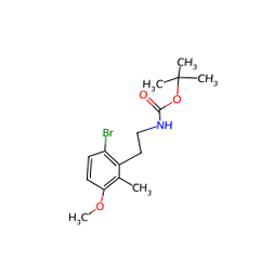 COc1ccc(Br)c(CCNC(=O)OC(C)(C)C)c1C